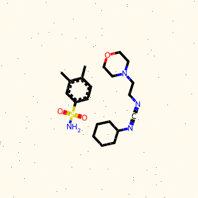 C(=NCCN1CCOCC1)=NC1CCCCC1.Cc1ccc(S(N)(=O)=O)cc1C